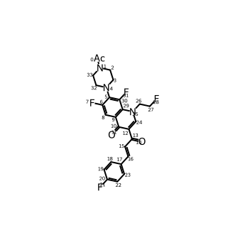 CC(=O)N1CCN(c2c(F)cc3c(=O)c(C(=O)/C=C/c4ccc(F)cc4)cn(CCF)c3c2F)CC1